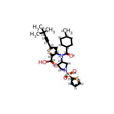 CC1CCC(C(=O)N(c2cc(C#CC(C)(C)C)sc2C(=O)O)C2CCN(S(=O)(=O)c3cccs3)C2)CC1